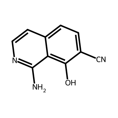 N#Cc1ccc2ccnc(N)c2c1O